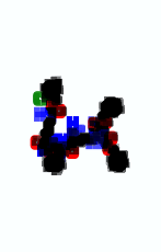 NC(=O)[C@H](CCCCNC(=O)OCc1ccccc1Cl)NC(=O)[C@H](Cc1ccccc1)NC(=O)[C@H](N)CCCN/C(=N\C(=O)OCc1ccccc1)NC(=O)OCc1ccccc1